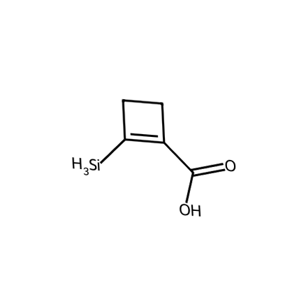 O=C(O)C1=C([SiH3])CC1